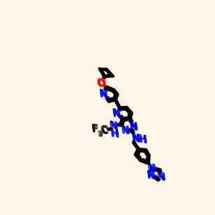 FC(F)(F)CNc1nc(NCc2ccc(-n3cncn3)cc2)nc2ccc(-c3ccc(OC4CCC4)nc3)nc12